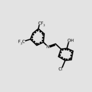 Oc1ccc(Cl)cc1C=Nc1cc(C(F)(F)F)cc(C(F)(F)F)c1